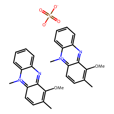 COc1c(C)ccc2c1nc1ccccc1[n+]2C.COc1c(C)ccc2c1nc1ccccc1[n+]2C.O=S(=O)([O-])[O-]